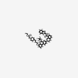 CCOC(=O)CN1CCC(CCCOc2cccc(-c3ccc(N4CCc5cccc(C(=O)Nc6nc7ccccc7s6)c5C4)nc3C(=O)OC(C)(C)C)c2)CC1